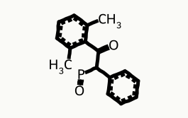 Cc1cccc(C)c1C(=O)C(P=O)c1ccccc1